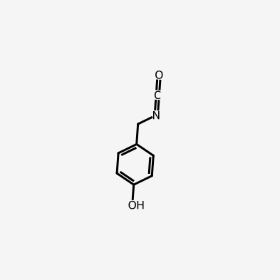 O=C=NCc1ccc(O)cc1